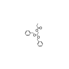 CCC(=O)OCC(OCc1ccccc1)OCc1ccccc1